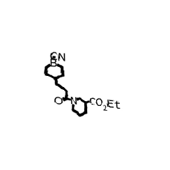 CCOC(=O)C1CCCN(C(=O)CCC2CCB(C#N)CC2)C1